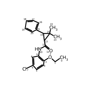 CCOc1ccc(Cl)cc1NC(=O)C1C(c2ccccc2)C1(C)C